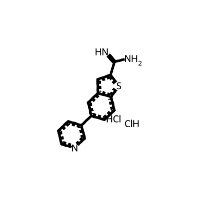 Cl.Cl.N=C(N)c1cc2cc(-c3cccnc3)ccc2s1